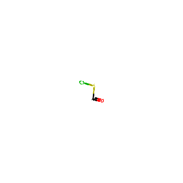 O=[C]SCl